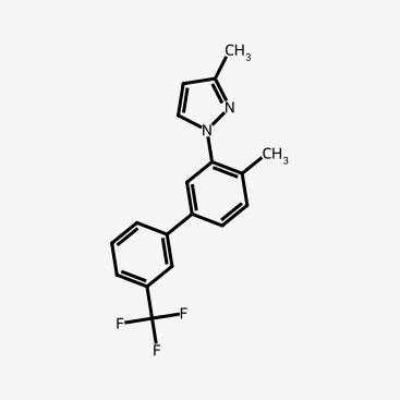 Cc1ccn(-c2cc(-c3cccc(C(F)(F)F)c3)ccc2C)n1